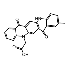 Cc1ccc2[nH]c3cc4c(=O)c5ccccc5n(CC(=O)O)c4cc3c(=O)c2c1